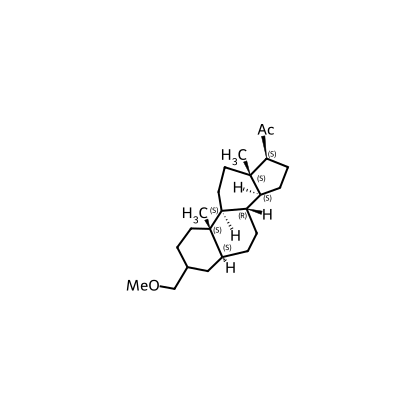 COCC1CC[C@@]2(C)[C@@H](CC[C@@H]3[C@@H]2CC[C@]2(C)[C@@H](C(C)=O)CC[C@@H]32)C1